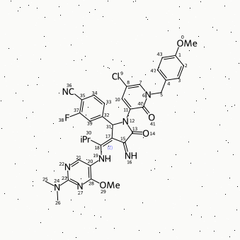 COc1ccc(Cn2cc(Cl)cc(N3C(=O)C(=N)/C(=C(\Nc4cnc(N(C)C)nc4OC)C(C)C)C3c3ccc(C#N)c(F)c3)c2=O)cc1